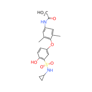 Cc1cc(NC(=O)C(=O)O)cc(C)c1Oc1ccc(O)c(S(=O)(=O)NC2CC2)c1